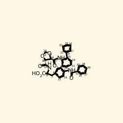 O=C(Nc1ccc(CC(NC(=O)[C@@H]2OCO[C@H]2C(=O)Nc2ccccc2-c2ccccc2)C(=O)O)cc1)c1ccccc1